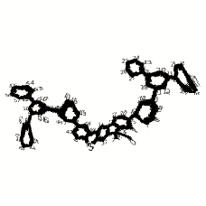 CC1(C)c2cc(-c3cccc(-c4cc(-c5ccccc5)cc(-c5ccccc5)c4)c3)ccc2-c2cc3c(cc21)sc1ccc(-c2cccc(-c4cc(-c5ccccc5)cc(-c5ccccc5)c4)c2)cc13